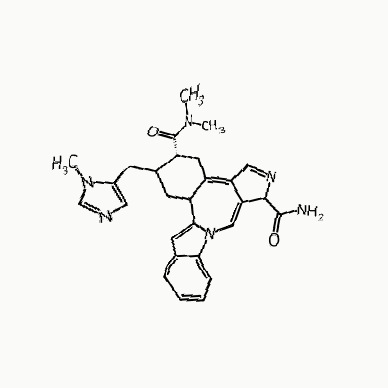 CN(C)C(=O)[C@@H]1CC2=C3C=NC(C(N)=O)C3=Cn3c(cc4ccccc43)C2CC1Cc1cncn1C